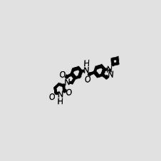 O=C1CCC(N2Cc3cc(NC(=O)c4ccc5c(cnn5C5CCC5)c4)ccc3C2=O)C(=O)N1